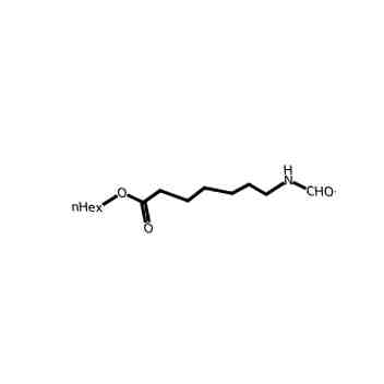 CCCCCCOC(=O)CCCCCCN[C]=O